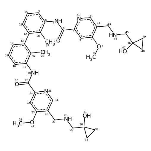 COc1cc(C(=O)Nc2cccc(-c3cccc(NC(=O)c4cc(OC)c(CNCC5(O)CC5)cn4)c3C)c2C)ncc1CNCC1(O)CC1